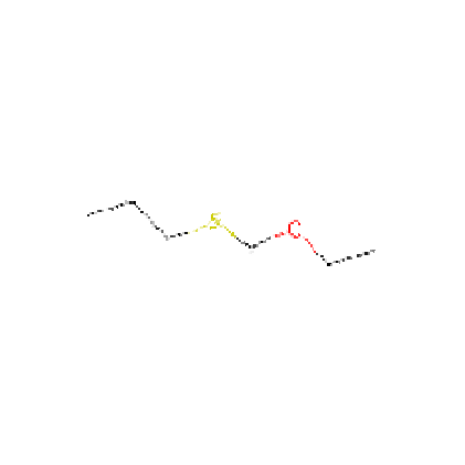 CCCS[CH]OCC